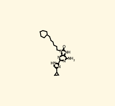 Nc1nc(-c2nc(C3CC3)c[nH]2)nc2c1[nH]c(=O)n2CCCCCCC1CCCCC1